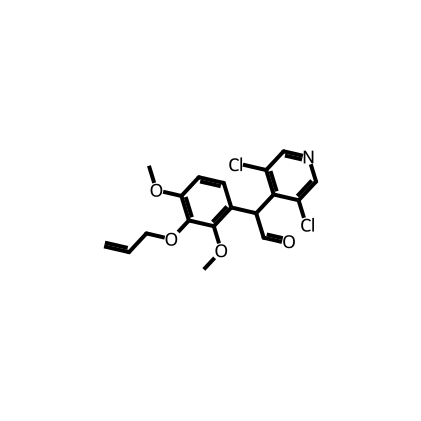 C=CCOc1c(OC)ccc(C(C=O)c2c(Cl)cncc2Cl)c1OC